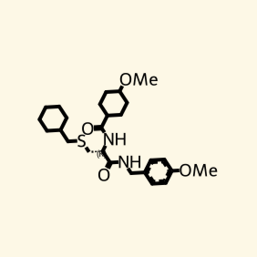 COc1ccc(CNC(=O)[C@H](CSCC2CCCCC2)NC(=O)C2CCC(OC)CC2)cc1